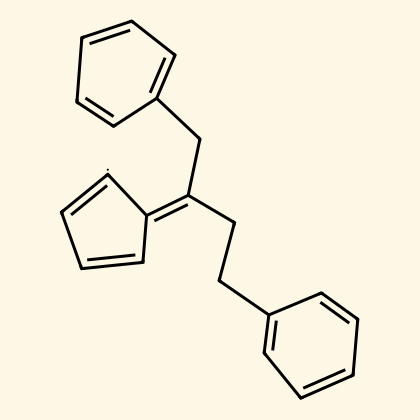 [C]1=CC=CC1=C(CCc1ccccc1)Cc1ccccc1